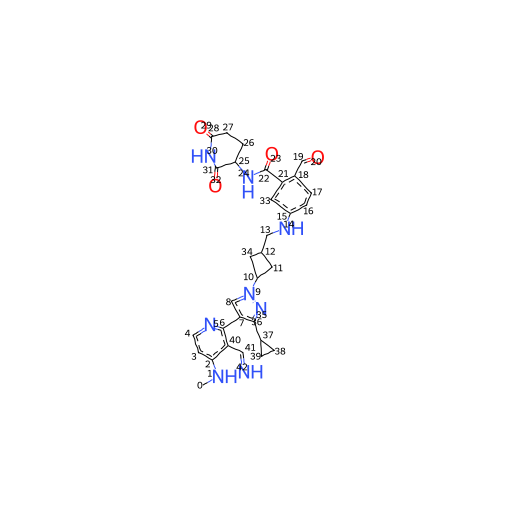 CNc1ccnc(-c2cn(C3CC(CNc4ccc(C=O)c(C(=O)NC5CCC(=O)NC5=O)c4)C3)nc2C2CC2)c1C=N